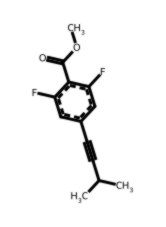 COC(=O)c1c(F)cc(C#CC(C)C)cc1F